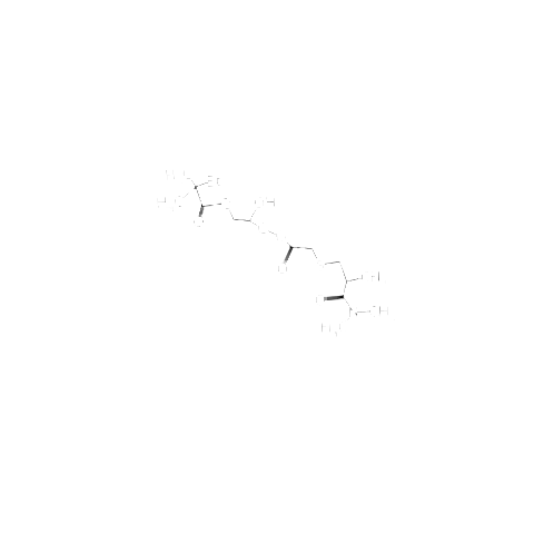 CCC(C)(C)C(=O)OCC(O)COC(=O)CSCC(C)C(=O)N(C)C